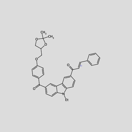 CCn1c2ccc(C(=O)/C=C/c3ccccc3)cc2c2cc(C(=O)c3ccc(OCC4COC(C)(C)O4)cc3)ccc21